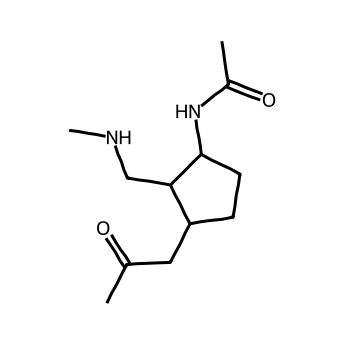 CNCC1C(CC(C)=O)CCC1NC(C)=O